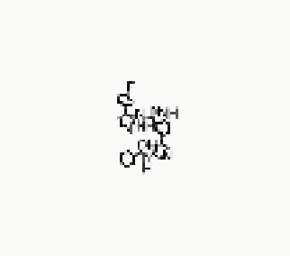 OC(Nc1cncc(-c2ccc3[nH]nc(-c4nc5c(-c6ccc(F)s6)ccnc5[nH]4)c3c2)c1)C1CCCCC1